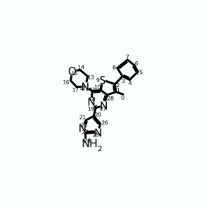 Cc1c(-c2c[c]ccc2)sc2c(N3CCOCC3)nc(-c3cnc(N)nc3)nc12